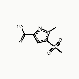 Cn1nc(C(=O)O)cc1S(C)(=O)=O